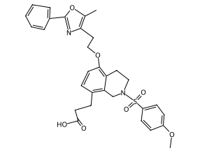 COc1ccc(S(=O)(=O)N2CCc3c(OCCc4nc(-c5ccccc5)oc4C)ccc(CCC(=O)O)c3C2)cc1